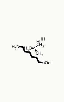 CCCCCCCCCCCCCCN.CN(C)C.I.I